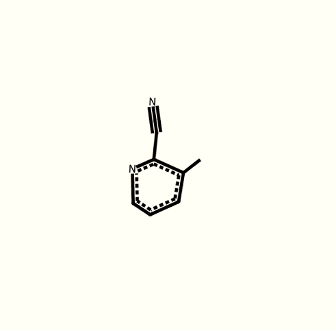 Cc1cccnc1C#N